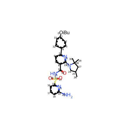 CC(C)COc1ccc(-c2ccc(C(=O)NS(=O)(=O)c3cccc(N)n3)c(N3CC(C)CC3(C)C)n2)cc1